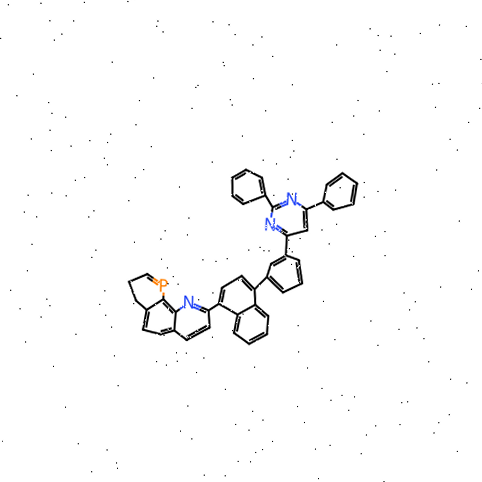 C1=Pc2c(ccc3ccc(-c4ccc(-c5cccc(-c6cc(-c7ccccc7)nc(-c7ccccc7)n6)c5)c5ccccc45)nc23)CC1